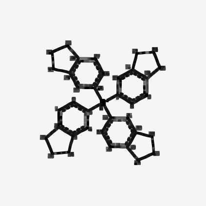 c1cc2c(cc1[B-](c1ccc3c(c1)CCC3)(c1ccc3c(c1)CCC3)c1ccc3c(c1)CCC3)CCC2